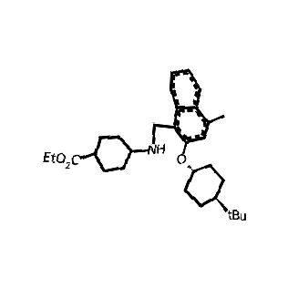 CCOC(=O)C1CCC(NCc2c(O[C@H]3CC[C@H](C(C)(C)C)CC3)cc(C)c3ccccc23)CC1